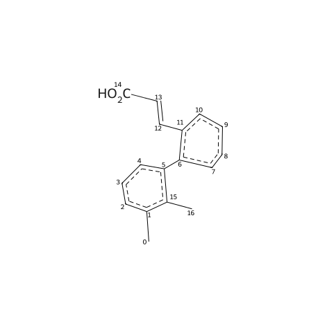 Cc1cccc(-c2ccccc2C=CC(=O)O)c1C